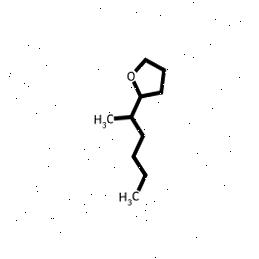 CCCCC(C)C1CCCO1